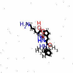 CC1(C)[C@@H]2CC[C@@]1(C)[C@@H](NC(=O)C(CC1CCCC1)NC(=O)N[C@@H](CCCCN)C(=O)O)C2